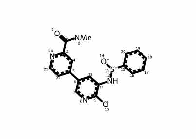 CNC(=O)c1cc(-c2cnc(Cl)c(N[S+]([O-])c3ccccc3)c2)ccn1